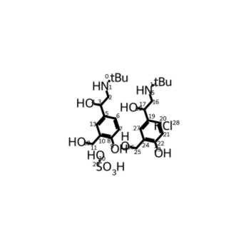 CC(C)(C)NCC(O)c1ccc(O)c(CO)c1.CC(C)(C)NCC(O)c1ccc(O)c(CO)c1.Cl.O=S(=O)(O)O